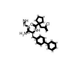 C=C(Cl)CC1(C(=O)N[C@@H](Cc2ccc(-c3ccccc3)cc2)/C(N)=N/N=N)CCCC1